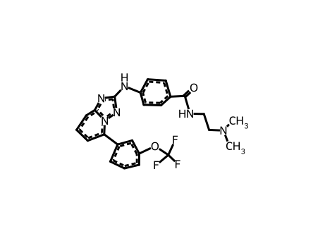 CN(C)CCNC(=O)c1ccc(Nc2nc3cccc(-c4cccc(OC(F)(F)F)c4)n3n2)cc1